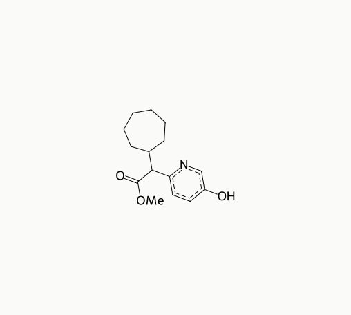 COC(=O)C(c1ccc(O)cn1)C1CCCCCC1